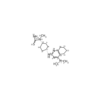 CN(C)c1nc(N[C@H]2CC[C@@H](N(C)C(N)=S)CC2)nc2c1CCCC2